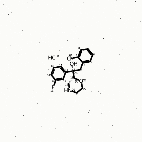 Cl.O[C@@](Cc1ccccc1Cl)(c1cccc(F)c1)[C@H]1CNCCO1